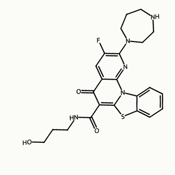 O=C(NCCCO)c1c(=O)c2cc(F)c(N3CCCNCC3)nc2n2c1sc1ccccc12